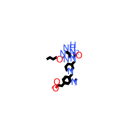 CCCCOc1nc(N)c2[nH]c(=O)n(CC3CCCN(Cc4ccc(CC(=O)OC)cc4N(C)C)C3)c2n1